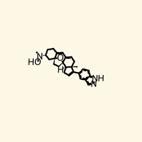 CN(O)[C@@H]1CCC2=CC3=CC[C@]4(C)C(c5ccc6[nH]ncc6c5)=CC[C@H]4[C@@]34CC[C@]2(C1)O4